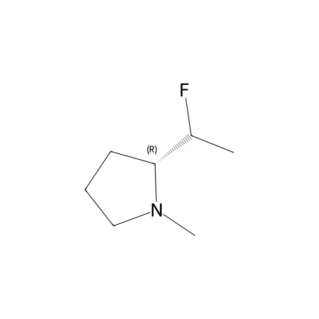 CC(F)[C@H]1CCCN1C